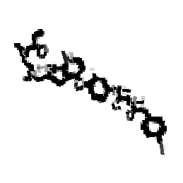 C=CC(=O)N(C)CCN(C)Cc1cc2c(Oc3ccc(NC(=O)NC(=O)Cc4ccc(F)cc4)cc3F)ccnc2[nH]1